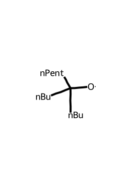 CCCCCC([O])(CCCC)CCCC